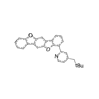 CC(C)(C)Cc1ccnc(-c2cccc3c2oc2cc4c(cc23)oc2ccccc24)c1